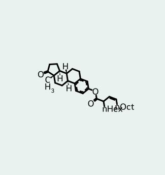 CCCCCCCC/C=C\C(CCCCCC)C(=O)Oc1ccc2c(c1)CC[C@@H]1[C@@H]2CC[C@]2(C)C(=O)CC[C@@H]12